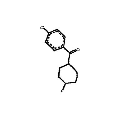 O=C(c1ccc(Cl)cc1)C1CCC(F)CC1